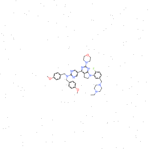 CCN1CCN(Cc2ccc(F)c(N3CCc4c(-c5cnc(N(Cc6ccc(OC)cc6)Cc6ccc(OC)cc6)nc5)nc(N5CCOCC5)nc43)c2)CC1